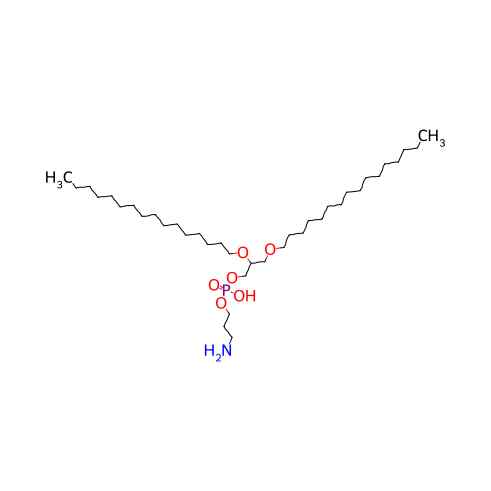 CCCCCCCCCCCCCCCCOCC(COP(=O)(O)OCCCN)OCCCCCCCCCCCCCCCC